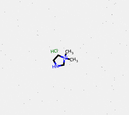 C[N+]1(C)CCNC1.Cl